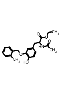 CCOC(=O)C(Cc1ccc(O)c(OCc2ccccc2N)c1)NC(C)=O